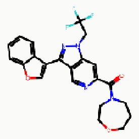 O=C(c1cc2c(cn1)c(-c1coc3ccccc13)nn2CC(F)(F)F)N1CCCOCC1